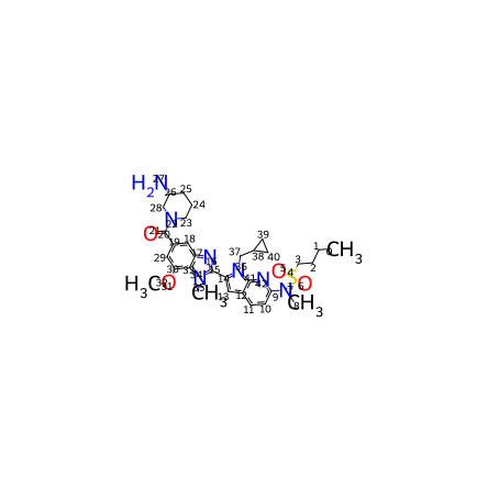 CCCCS(=O)(=O)N(C)c1ccc2cc(-c3nc4cc(C(=O)N5CCC[C@@H](N)C5)cc(OC)c4n3C)n(CC3CC3)c2n1